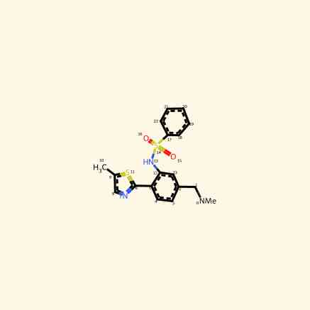 CNCc1ccc(-c2ncc(C)s2)c(NS(=O)(=O)c2ccccc2)c1